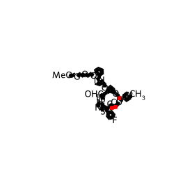 COCCOCCOCCOc1ccccc1-c1nccc(COc2ccc3cc2C[C@H](C=O)Oc2ncnc4sc(-c5ccc(F)cc5)c(c24)-c2ccc(c(Cl)c2C)O[C@H](CN2CCN(C)CC2)CO3)n1